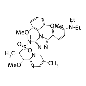 CCN(CC)c1ccc(-c2nnc(NS(=O)(=O)C(C)C(OC)c3ncc(C)cn3)n2-c2c(OC)cccc2OC)cc1